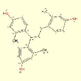 Cc1cc(O)ccc1CCC(c1ccc(O)cc1C)c1ccc(O)cc1C